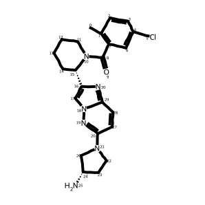 Cc1ccc(Cl)cc1C(=O)N1CCCC[C@H]1c1cn2nc(N3CC[C@H](N)C3)ccc2n1